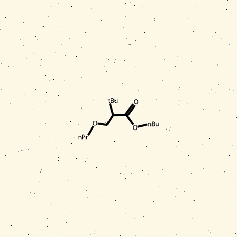 CCCCOC(=O)C(COCCC)C(C)(C)C